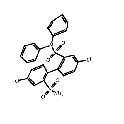 NS(=O)(=O)c1cc(Cl)ccc1-c1ccc(Cl)cc1S(=O)(=O)N(c1ccccc1)c1ccccc1